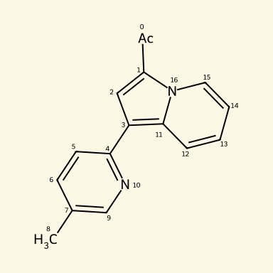 CC(=O)c1cc(-c2ccc(C)cn2)c2ccccn12